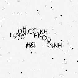 CC(=N)N1CCCC(Oc2ccc(NC(=N)c3ccc4ccc(CNC(=O)C(N)=O)cc4c3)cc2)C1.Cl.Cl